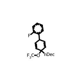 CCCCCCCCCCC1(OC(F)(F)F)C=CC(c2ccccc2F)C=C1